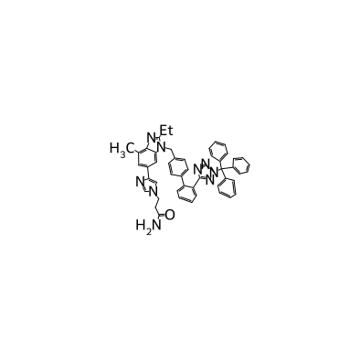 CCc1nc2c(C)cc(-c3cn(CCC(N)=O)cn3)cc2n1Cc1ccc(-c2ccccc2-c2nnn(C(c3ccccc3)(c3ccccc3)c3ccccc3)n2)cc1